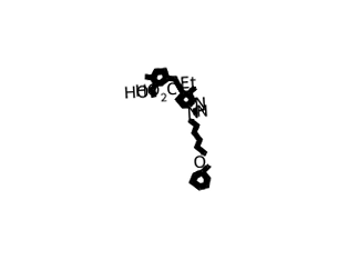 CCC(Cc1ccc(C)c(C(C)O)c1)(C(=O)O)c1ccc2c(nnn2CCCCCCOCc2ccccc2)c1C